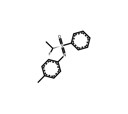 Cc1ccc(N=[S@@](=O)(c2ccccc2)C(C)F)cc1